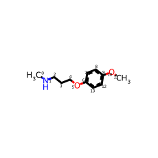 CNCCCOc1ccc(OC)cc1